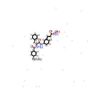 CC(=O)Nc1ccc(C(=O)N[C@@H](Cc2ccccc2)C(=O)Nc2ccc3sc(C(=O)NO)cc3c2)cc1